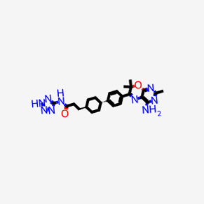 Cc1nc(N)c2c(n1)OC(C)(C)C(c1ccc([C@H]3CC[C@H](CCC(=O)Nc4nn[nH]n4)CC3)cc1)=N2